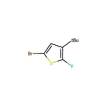 CC(C)(C)c1cc(Br)sc1F